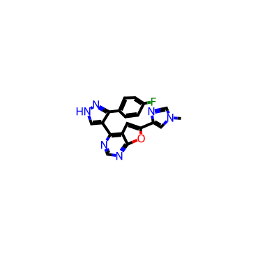 Cn1cnc(-c2cc3c(-c4c[nH]nc4-c4ccc(F)cc4)ncnc3o2)c1